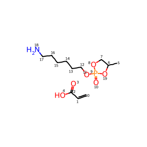 C=CC(=O)O.CC1COP(=O)(OCCCCCCN)O1